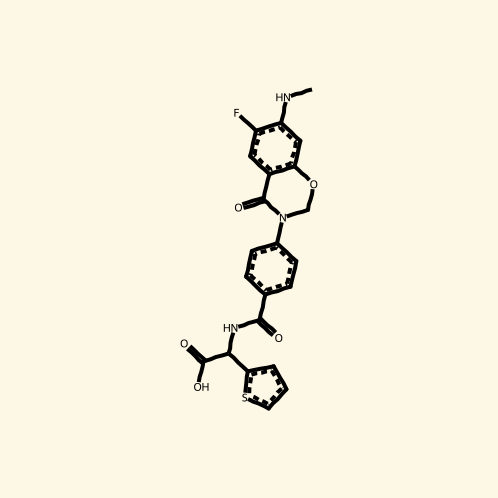 CNc1cc2c(cc1F)C(=O)N(c1ccc(C(=O)NC(C(=O)O)c3cccs3)cc1)CO2